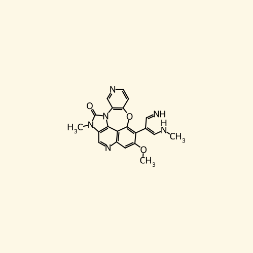 CN/C=C(\C=N)c1c(OC)cc2ncc3c4c2c1oc1ccncc1n4c(=O)n3C